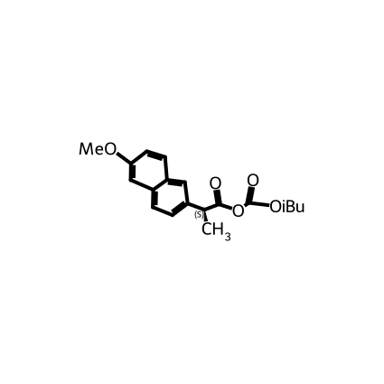 COc1ccc2cc([C@H](C)C(=O)OC(=O)OCC(C)C)ccc2c1